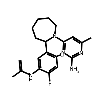 C=C(C)Nc1cc(C2CCCCCN2c2cc(C)nc(N)n2)c(Cl)cc1F